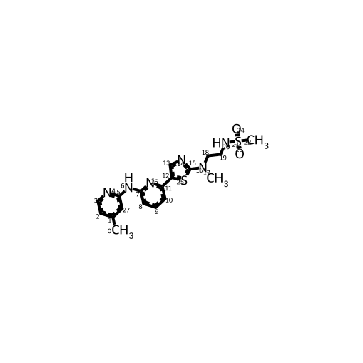 Cc1ccnc(Nc2cccc(-c3cnc(N(C)CCNS(C)(=O)=O)s3)n2)c1